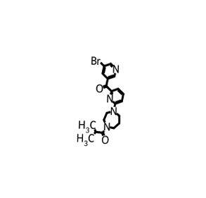 CC(C)C(=O)N1CCCN(c2cccc(C(=O)c3cncc(Br)c3)n2)CC1